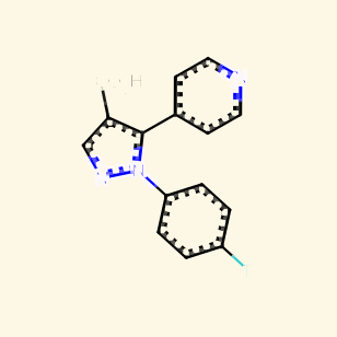 O=C(O)c1cnn(-c2ccc(F)cc2)c1-c1ccncc1